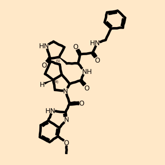 COc1cccc2[nH]c(C(=O)N3C[C@@H]4CCCC4C3C(=O)NC(C[C@@H]3CCNC3=O)C(=O)C(=O)NCc3ccccc3)nc12